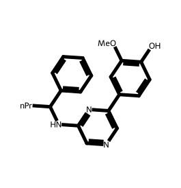 CCCC(Nc1cncc(-c2ccc(O)c(OC)c2)n1)c1ccccc1